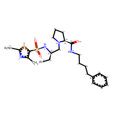 CC(=O)Nc1nc(C)c(S(=O)(=O)N[C@H](CC(C)C)CN2CCC[C@H]2C(=O)NCCCCc2ccccc2)s1